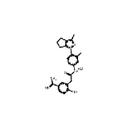 Cc1cc(NC(=O)Cc2cc(C(=N)N)ccc2O)ccc1-n1nc(C)c2c1CCC2.Cl